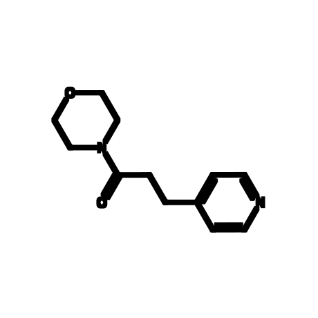 O=C(CCc1ccncc1)N1CCOCC1